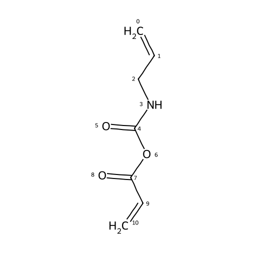 C=CCNC(=O)OC(=O)C=C